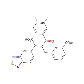 COc1cccc(CC(C(=O)c2ccc(C)c(C)c2)=C(C(=O)O)c2ccc3nsnc3c2)c1